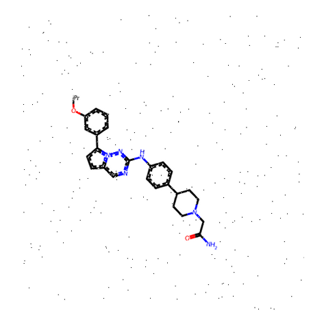 CC(C)Oc1cccc(-c2ccc3cnc(Nc4ccc(C5CCN(CC(N)=O)CC5)cc4)nn23)c1